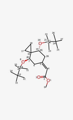 COC(=O)C=C1C[C@@H](O[Si](C)(C)C(C)(C)C)C2(CC2)[C@H](O[Si](C)(C)C(C)(C)C)C1